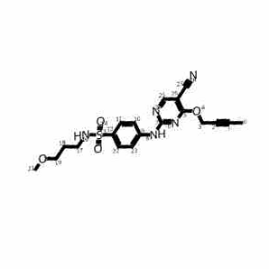 CC#CCOc1nc(Nc2ccc(S(=O)(=O)NCCCOC)cc2)ncc1C#N